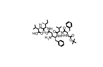 CC[C@H](C)[C@H](NC(=O)C[C@H](N)[C@H](Cc1ccccc1)NC(=O)[C@@H](NC(=O)[C@H](Cc1ccccc1)NC(=O)OC(C)(C)C)C(C)C)C(=O)N[C@H](C(=O)O)C(C)C